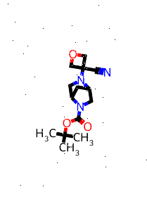 CC(C)(C)OC(=O)N1CC2CC1CN2C1(C#N)COC1